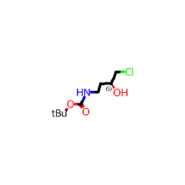 CC(C)(C)OC(=O)NCC[C@H](O)CCl